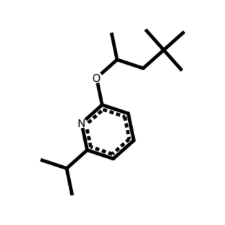 CC(CC(C)(C)C)Oc1cccc(C(C)C)n1